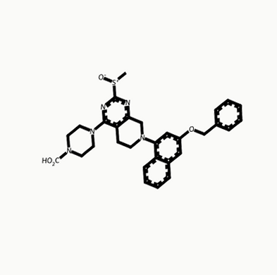 C[S+]([O-])c1nc2c(c(N3CCN(C(=O)O)CC3)n1)CCN(c1cc(OCc3ccccc3)cc3ccccc13)C2